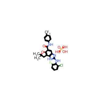 CC1(C)Cc2c(c(C(=O)Nc3ccc(C(F)(F)F)cc3)cc3nc(Nc4c(F)cccc4Cl)[nH]c23)O1.O=P(O)(O)O